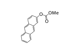 COC(=O)Oc1ccc2cc3ccccc3cc2c1